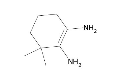 CC1(C)CCCC(N)=C1N